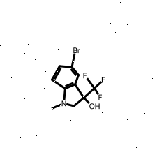 CN1CC(O)(C(F)(F)F)c2cc(Br)ccc21